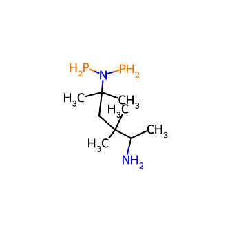 CC(N)C(C)(C)CC(C)(C)N(P)P